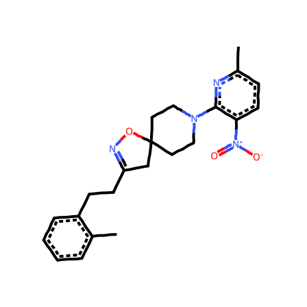 Cc1ccc([N+](=O)[O-])c(N2CCC3(CC2)CC(CCc2ccccc2C)=NO3)n1